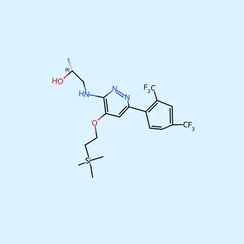 C[C@@H](O)CNc1nnc(-c2ccc(C(F)(F)F)cc2C(F)(F)F)cc1OCC[Si](C)(C)C